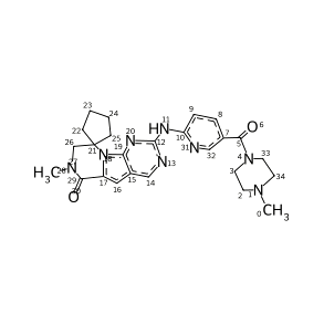 CN1CCN(C(=O)c2ccc(Nc3ncc4cc5n(c4n3)C3(CCCC3)CN(C)C5=O)nc2)CC1